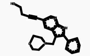 OCCC#Cc1cnc2[nH]c(-c3ccccc3)c(CN3CCOCC3)c2c1